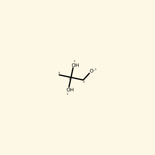 CC(O)(O)C[O]